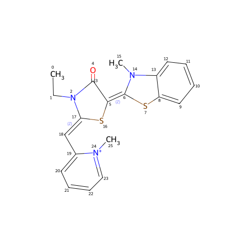 CCn1c(=O)/c(=C2/Sc3ccccc3N2C)s/c1=C\c1cccc[n+]1C